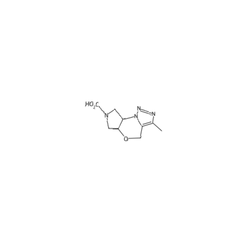 Cc1nnn2c1COC1CN(C(=O)O)CC12